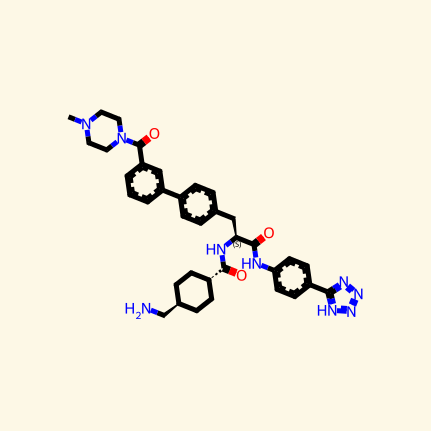 CN1CCN(C(=O)c2cccc(-c3ccc(C[C@H](NC(=O)[C@H]4CC[C@H](CN)CC4)C(=O)Nc4ccc(-c5nnn[nH]5)cc4)cc3)c2)CC1